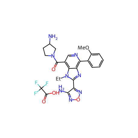 CCn1c(-c2nonc2N)nc2c(-c3ccccc3OC)ncc(C(=O)N3CCC(N)C3)c21.O=C(O)C(F)(F)F